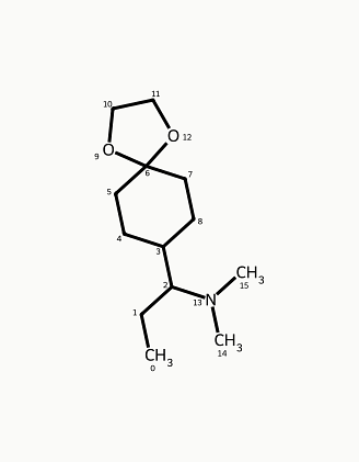 CCC(C1CCC2(CC1)OCCO2)N(C)C